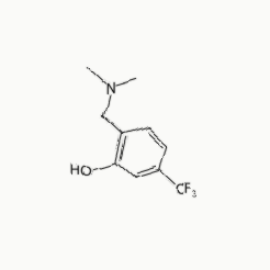 CN(C)Cc1ccc(C(F)(F)F)cc1O